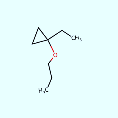 CCCOC1(CC)CC1